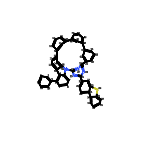 c1ccc(-c2cccc3c2c2ccc4cc2n3-c2nc(nc(-c3ccc5c(c3)sc3ccccc35)n2)-c2cccc(c2)-c2cccc(c2)-c2cccc-4c2)cc1